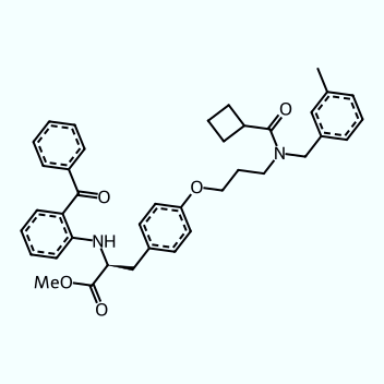 COC(=O)[C@H](Cc1ccc(OCCCN(Cc2cccc(C)c2)C(=O)C2CCC2)cc1)Nc1ccccc1C(=O)c1ccccc1